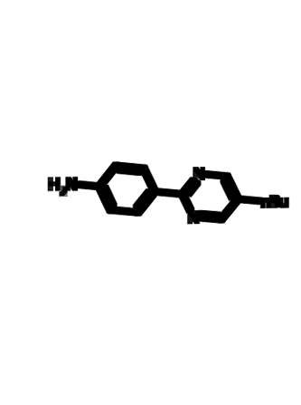 CCCCc1cnc(-c2ccc(N)cc2)nc1